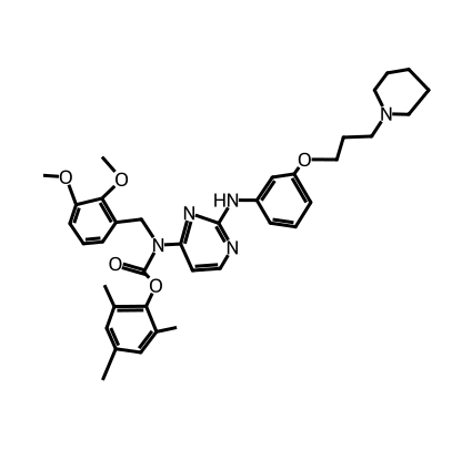 COc1cccc(CN(C(=O)Oc2c(C)cc(C)cc2C)c2ccnc(Nc3cccc(OCCCN4CCCCC4)c3)n2)c1OC